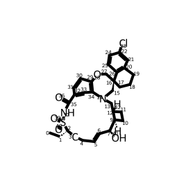 CC[C@H]1CC/C=C/[C@H](O)[C@@H]2CC[C@H]2CN2C[C@@]3(CCCc4cc(Cl)ccc43)COc3ccc(cc32)C(=O)NS1(=O)=O